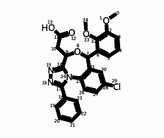 COc1cccc(C2OC(CC(=O)O)c3nnc(-c4ccccc4)n3-c3ccc(Cl)cc32)c1OC